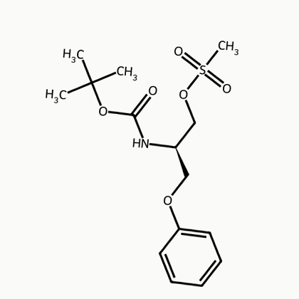 CC(C)(C)OC(=O)N[C@H](COc1ccccc1)COS(C)(=O)=O